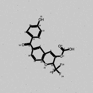 O=C(O)OC1=Cc2cc(C(=O)c3ccc(O)cc3)ccc2OC1C(F)(F)F